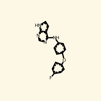 Fc1ccc(Oc2ccc(Nc3ncnc4[nH]ccc34)cc2)cc1